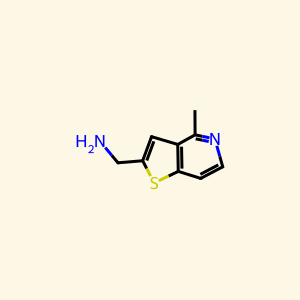 Cc1nccc2sc(CN)cc12